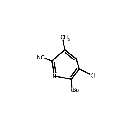 Cc1cc(Cl)c(C(C)(C)C)nc1C#N